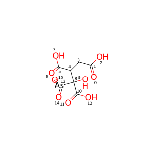 O=C(O)CC(C(=O)O)C(O)(C(=O)O)[As](=O)=O